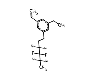 C=Cc1cc(CO)cc(CCC(F)(F)C(F)(F)C(F)(F)C(F)(F)F)c1